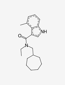 CCN(CC1CCCCCC1)C(=O)c1c[nH]c2cccc(C)c12